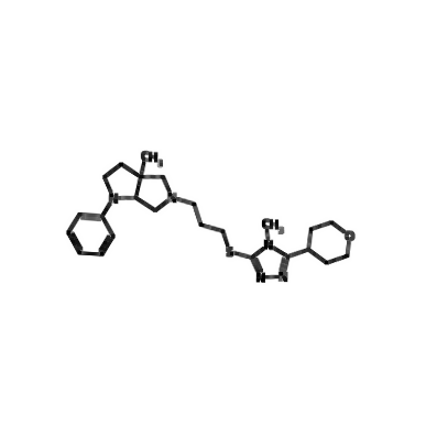 Cn1c(SCCCN2CC3N(c4ccccc4)CCC3(C)C2)nnc1C1CCOCC1